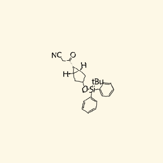 CC(C)(C)[Si](OC1C[C@@H]2[C@H](C1)[C@@H]2C(=O)CC#N)(c1ccccc1)c1ccccc1